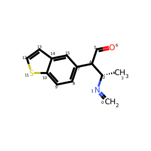 C=N[C@@H](C)C(C=O)c1ccc2sccc2c1